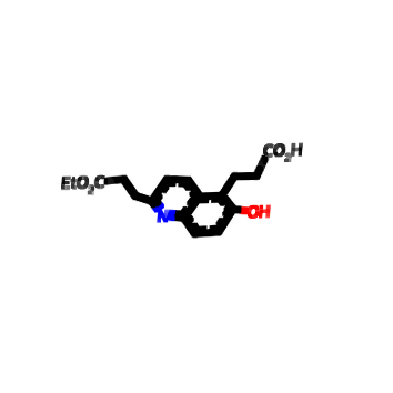 CCOC(=O)CCc1ccc2c(CCC(=O)O)c(O)ccc2n1